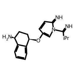 CC(C)C(=N)n1cc(O[C@@H]2CC[C@H](N)c3ccccc32)ccc1=N